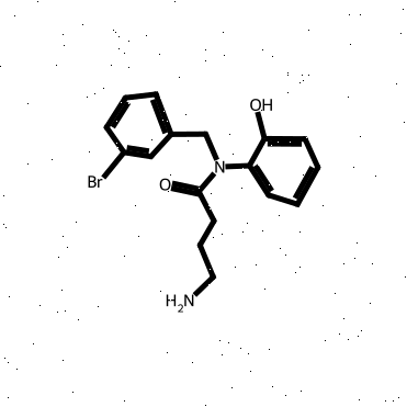 NCCCC(=O)N(Cc1cccc(Br)c1)c1ccccc1O